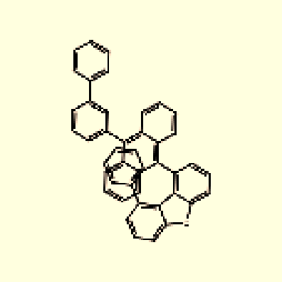 c1ccc(-c2cccc(-c3c4ccccc4c(-c4cccc5oc6cccc(-c7ccccc7)c6c45)c4ccccc34)c2)cc1